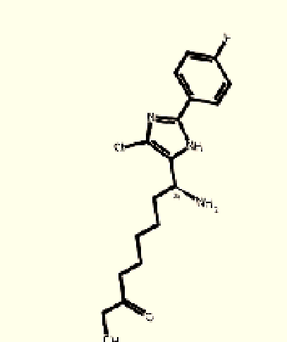 CCC(=O)CCCCC[C@H](N)c1[nH]c(-c2ccc(F)cc2)nc1Cl